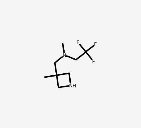 CN(CC(F)(F)F)CC1(C)CNC1